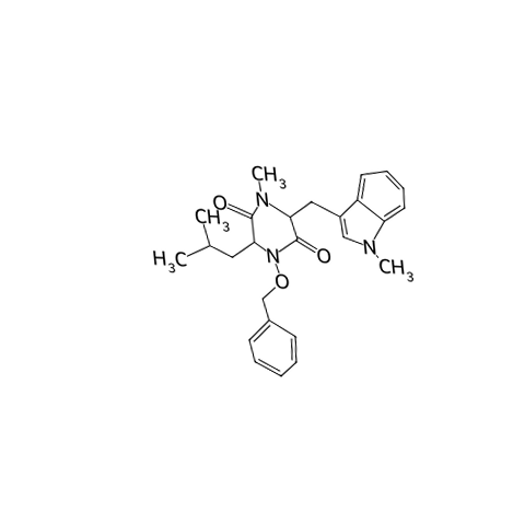 CC(C)CC1C(=O)N(C)C(Cc2cn(C)c3ccccc23)C(=O)N1OCc1ccccc1